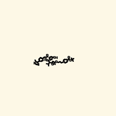 Cc1ncsc1-c1ccc(CNC(=O)[C@@H]2C[C@@H](O)CN2C(=O)C(c2cc(OCCCN3CCN(C(=O)OC(C)(C)C)CC3)no2)C(C)C)cc1